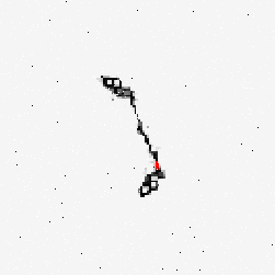 C[C@@H]1CC2C3CCC4=CC(=O)C=C[C@]4(C)[C@@]3(F)[C@@H](O)C[C@]2(C)[C@@]1(O)C(=O)[CH]CCCCCC(=O)OCCCCCC(=O)OCC(=O)[C@@]1(O)CCC2C3CCC4=CC(=O)C=C[C@]4(C)C3[C@@H](O)C[C@@]21C